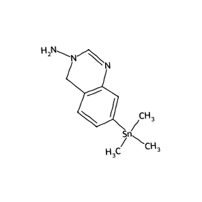 [CH3][Sn]([CH3])([CH3])[c]1ccc2c(c1)N=CN(N)C2